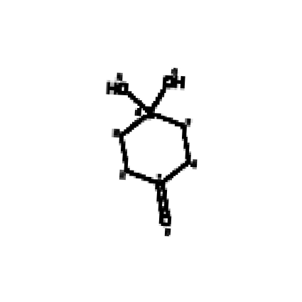 O=C1CCS(O)(O)CC1